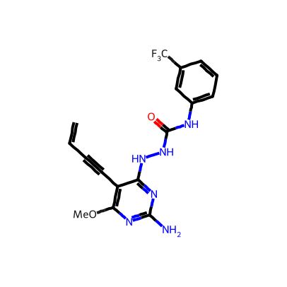 C=CC#Cc1c(NNC(=O)Nc2cccc(C(F)(F)F)c2)nc(N)nc1OC